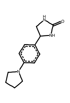 O=C1NCC(c2ccc(N3CCCC3)cc2)N1